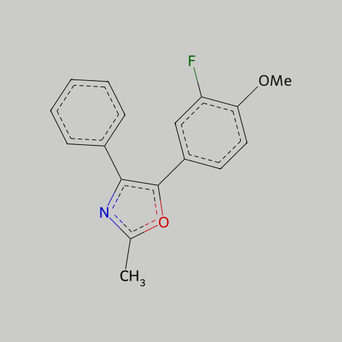 COc1ccc(-c2oc(C)nc2-c2ccccc2)cc1F